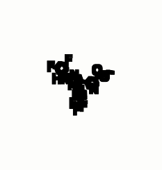 CCOC(=O)c1cncc(-c2cnc(Nc3cc(F)cc(F)c3)nc2-n2ccc(C(F)(F)F)n2)c1